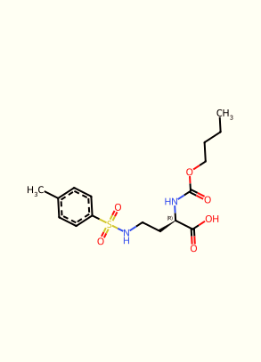 CCCCOC(=O)N[C@H](CCNS(=O)(=O)c1ccc(C)cc1)C(=O)O